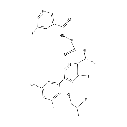 C[C@@H](NC(=O)NNC(=O)c1cncc(F)c1)c1ncc(-c2cc(Cl)cc(F)c2OCC(F)F)cc1F